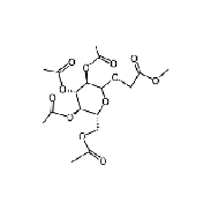 COC(=O)COC1O[C@H](COC(C)=O)[C@@H](OC(C)=O)[C@H](OC(C)=O)[C@H]1OC(C)=O